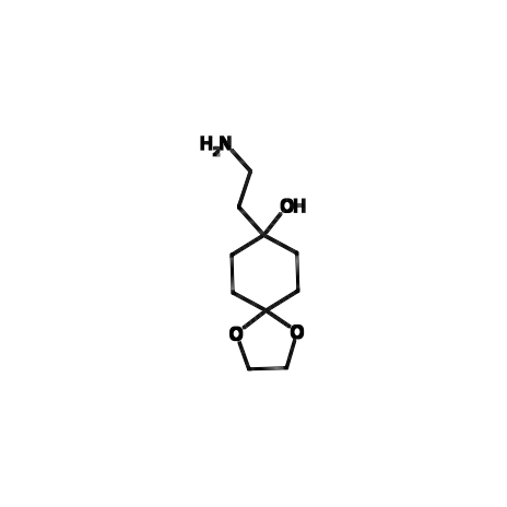 NCCC1(O)CCC2(CC1)OCCO2